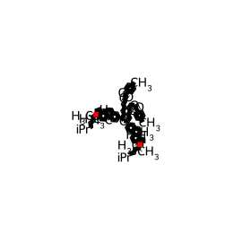 Cc1ccc(S(=O)(=O)OCCCCCC(OC(CCCCCOS(=O)(=O)c2ccc(C)cc2)[C@H]2CC[C@@]3(C)C(=CC[C@H]4[C@@H]5CC[C@H]([C@H](C)CCCC(C)C)[C@@]5(C)CC[C@@H]43)C2)[C@H]2CC[C@@]3(C)C(=CC[C@H]4[C@@H]5CC[C@H]([C@H](C)CCCC(C)C)[C@@]5(C)CC[C@@H]43)C2)cc1